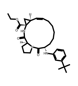 CCOC(=O)[C@@]12C[C@H]1/C=C\CCCCC[C@H](Nc1cccc(C(C)(C)C)c1)C(=O)N1CCC[C@H]1C(=O)N2